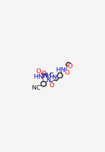 Cn1c(C(=O)Nc2ccc(C#N)cc2-c2noc(=O)[nH]2)cc2ccc(NC(=O)c3ccco3)cc21